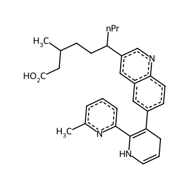 CCCC(CCC(C)CC(=O)O)c1cnc2ccc(C3=C(c4cccc(C)n4)NC=CC3)cc2c1